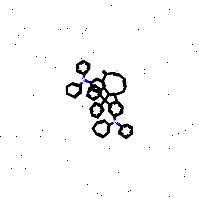 C=C1/C=C\C=C/CC2=C(C3=C1CC(N(C1=CCCC=C1)c1ccccc1)C=C3)C(c1ccccc1)(c1ccccc1)c1cc(N(C3=CC=CCC=C3)c3ccccc3)ccc12